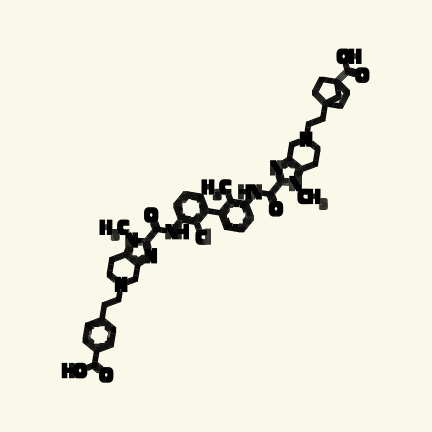 Cc1c(NC(=O)c2nc3c(n2C)CCN(CCC24CCC(C(=O)O)(CC2)C4)C3)cccc1-c1cccc(NC(=O)c2nc3c(n2C)CCN(CCc2ccc(C(=O)O)cc2)C3)c1Cl